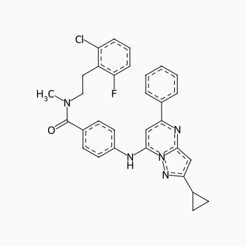 CN(CCc1c(F)cccc1Cl)C(=O)c1ccc(Nc2cc(-c3ccccc3)nc3cc(C4CC4)nn23)cc1